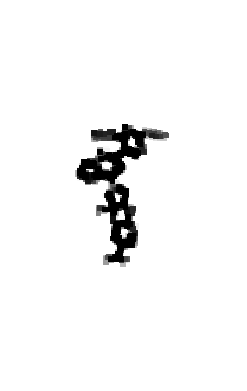 COc1ncc(-c2cc(N3CC(Oc4ccc(C(F)F)cn4)C(F)(F)C3)c3nccn3n2)c(OC)n1